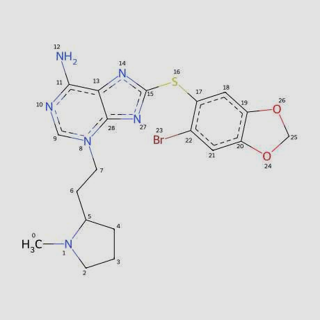 CN1CCCC1CCn1cnc(N)c2nc(Sc3cc4c(cc3Br)OCO4)nc1-2